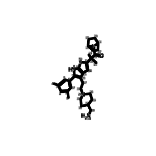 Cc1cc(C)cc(-c2[nH]c3sc(C(C)(C)C(=O)N4C5CCC4CC5)cc3c2CCN2CCC(CN)CC2)c1